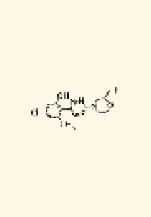 Cc1cc(Cl)cc(O)c1-c1ccc(N2CCO[C@H](CF)C2)nn1